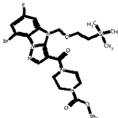 CC(C)(C)OC(=O)N1CCN(C(=O)c2cnn3c4c(Br)cc(F)cc4n(COCC[Si](C)(C)C)c23)CC1